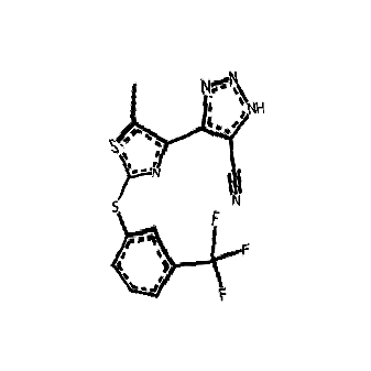 Cc1sc(Sc2cccc(C(F)(F)F)c2)nc1-c1nn[nH]c1C#N